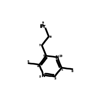 Cc1cnc(C)c(CCC(C)C)n1